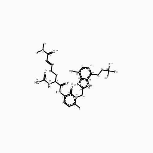 Cc1ccc(NC(=O)C(CCC=CC(=O)N(C)C)NC(=O)O)c(=O)n1Cc1nc2c(F)cnc(CCC(F)(F)F)c2[nH]1